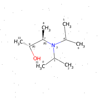 CC(C)N(C(C)C)[C@H](C)[C@@H](C)O